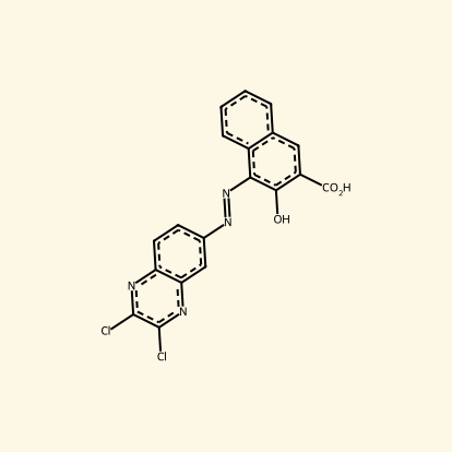 O=C(O)c1cc2ccccc2c(/N=N/c2ccc3nc(Cl)c(Cl)nc3c2)c1O